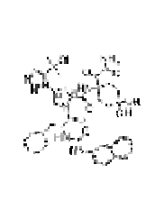 CC(C)(O)c1cnnn1[C@H]1C[C@@H](C(=O)NC2(C(=O)C(N)=O)CCS(O)(O)CC2)N(C(=O)C(CC2CCCCC2)NC(=O)Nc2ccc3ccccc3c2)C1